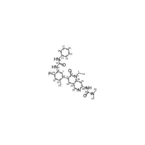 CCn1c(=O)c(-c2cc(NC(=O)Nc3ccccc3)c(F)cc2C)cc2cnc(NC(=O)N(C)C)cc21